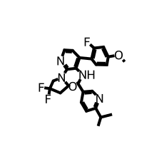 COc1ccc(-c2ccnc(N3CCC(F)(F)C3)c2NC(=O)c2ccc(C(C)C)nc2)c(F)c1